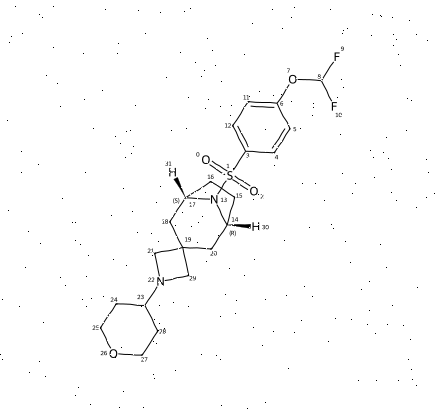 O=S(=O)(c1ccc(OC(F)F)cc1)N1[C@@H]2CC[C@H]1CC1(C2)CN(C2CCOCC2)C1